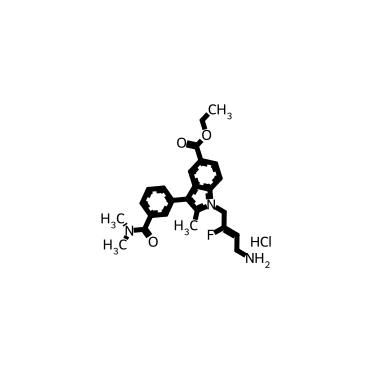 CCOC(=O)c1ccc2c(c1)c(-c1cccc(C(=O)N(C)C)c1)c(C)n2CC(F)=CCN.Cl